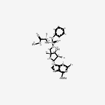 CNc1nc(F)nc2c1ncn2[C@@H]1O[C@](C)(CO[P@@](=O)(N[C@@H](C)C(=O)OC(C)C)Oc2ccccc2)[C@@H](O)[C@H]1F